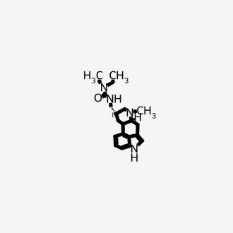 CCN(CC)C(=O)NC[C@H]1CC2c3cccc4[nH]cc(c34)C[C@H]2N(C)C1